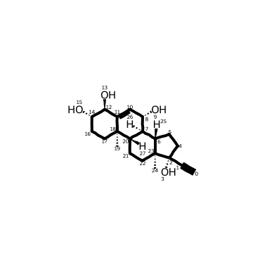 C#C[C@]1(O)CC[C@H]2[C@@H]3[C@@H](O)C=C4[C@H](O)[C@@H](O)CC[C@]4(C)[C@H]3CC[C@@]21C